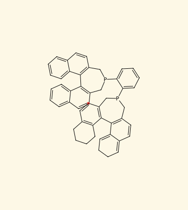 C1=c2ccc3c(c2=CCC1)-c1c(ccc2c1CCCC2)CP(c1ccccc1P1Cc2ccc4ccccc4c2-c2c(ccc4ccccc24)C1)C3